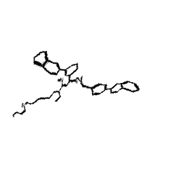 C=CC(C/C=C/C/C=N\C=C/CC)/C(=C/C(=N\Cc1ccc(-c2ccc3ccccc3c2)cc1)C1=CCCC(c2ccc3ccccc3c2)=C1)N=C